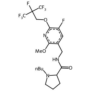 CCCCN1CCCC1C(=O)NCc1cc(F)c(OCC(F)(C(F)(F)F)C(F)(F)F)nc1OC